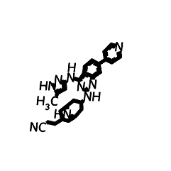 Cc1cc(Nc2nc(NC3CC4CC(CCC#N)CC(C3)N4)nc3cc(-c4ccncc4)ccc23)n[nH]1